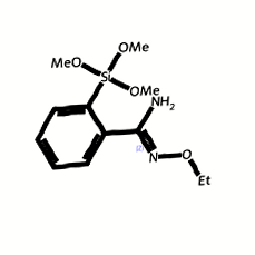 CCO/N=C(\N)c1ccccc1[Si](OC)(OC)OC